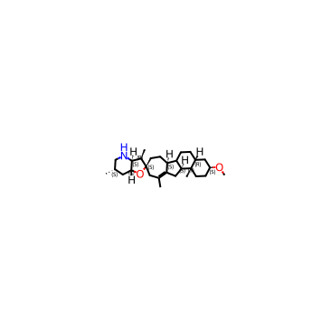 CO[C@H]1CC[C@@]2(C)[C@H](CCC3[C@@H]4CC[C@@]5(CC(C)=C4C[C@@H]32)O[C@@H]2C[C@H](C)CN[C@H]2[C@H]5C)C1